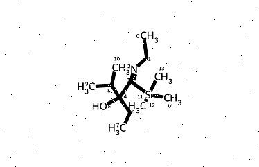 CCN=C(C(O)(CC)C(C)C)[Si](C)(C)C